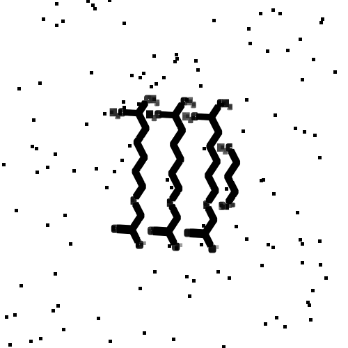 CC(C)CCCCCSCC(=O)[O-].CC(C)CCCCCSCC(=O)[O-].CC(C)CCCCCSCC(=O)[O-].CCC[CH2][Sn+3]